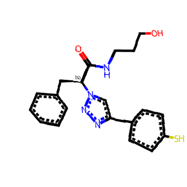 O=C(NCCCO)[C@H](Cc1ccccc1)n1cc(-c2ccc(S)cc2)nn1